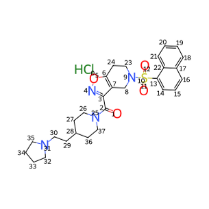 Cl.O=C(c1noc2c1CN(S(=O)(=O)c1cccc3ccccc13)CC2)N1CCC(CCN2CCCC2)CC1